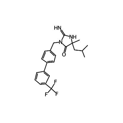 CC(C)CC1(C)NC(=N)N(Cc2ccc(-c3cccc(C(F)(F)F)c3)cc2)C1=O